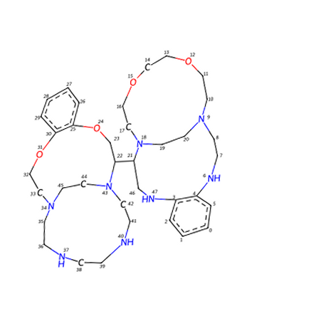 c1ccc2c(c1)NCCN1CCOCCOCCN(CC1)C(C1COc3ccccc3OCCN3CCNCCNCCN1CC3)CN2